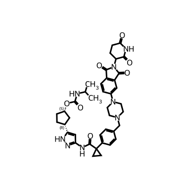 CC(C)NC(=O)O[C@H]1CC[C@@H](c2cc(NC(=O)C3(c4ccc(CN5CCN(c6ccc7c(c6)C(=O)N(C6CCC(=O)NC6=O)C7=O)CC5)cc4)CC3)n[nH]2)C1